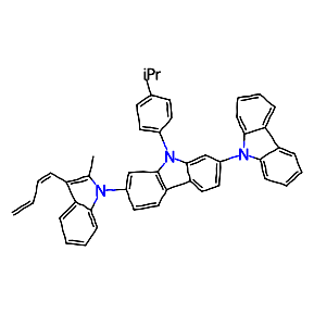 C=C/C=C\c1c(C)n(-c2ccc3c4ccc(-n5c6ccccc6c6ccccc65)cc4n(-c4ccc(C(C)C)cc4)c3c2)c2ccccc12